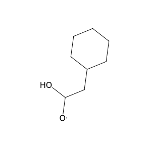 [O]C(O)CC1CCCCC1